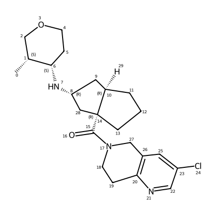 C[C@@H]1COCC[C@@H]1N[C@@H]1C[C@H]2CCC[C@@]2(C(=O)N2CCc3ncc(Cl)cc3C2)C1